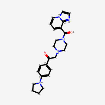 O=C(CN1CCN(C(=O)c2cccn3ccnc23)CC1)c1ccc(N2CCCC2)cc1